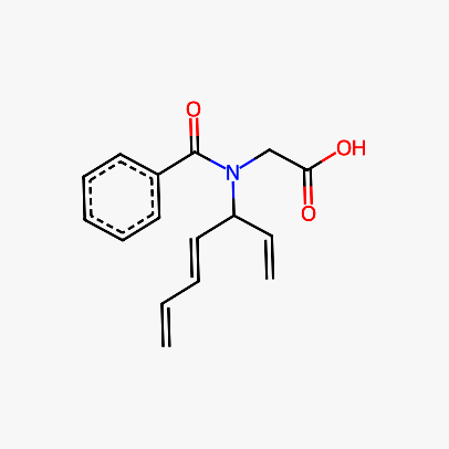 C=C/C=C/C(C=C)N(CC(=O)O)C(=O)c1ccccc1